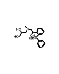 CN(CC(O)CO)CC(O)c1ccccc1[SiH](c1ccccc1)C(C)(C)C